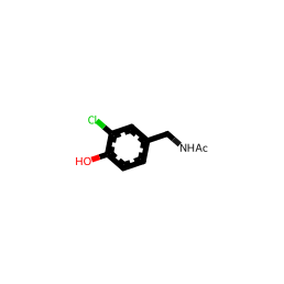 CC(=O)NCc1ccc(O)c(Cl)c1